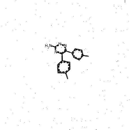 Cc1ccc(-c2nnc(N)nc2-c2ccc(C)cc2)cc1